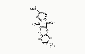 COc1ccc2c(c1)C(=O)C(Cc1ccc(C(F)(F)F)cc1)=C(C)C2=O